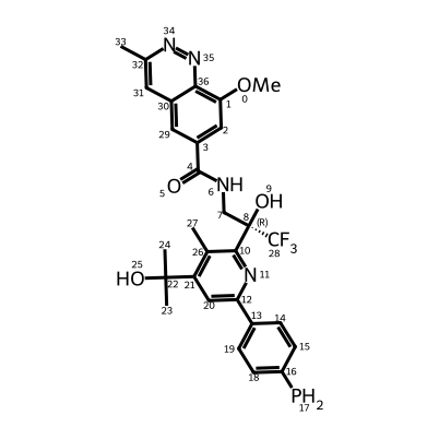 COc1cc(C(=O)NC[C@@](O)(c2nc(-c3ccc(P)cc3)cc(C(C)(C)O)c2C)C(F)(F)F)cc2cc(C)nnc12